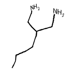 [CH2]CCC(CN)CN